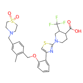 Cc1cc(CN2CCS(=O)(=O)CC2)ccc1COc1ccccc1-c1csc(N2CCC(C(=O)O)C(C(F)(F)F)C2)n1